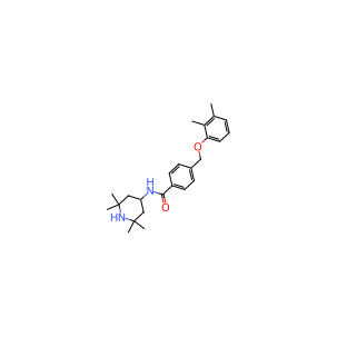 Cc1cccc(OCc2ccc(C(=O)NC3CC(C)(C)NC(C)(C)C3)cc2)c1C